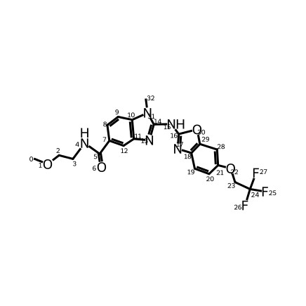 COCCNC(=O)c1ccc2c(c1)nc(Nc1nc3ccc(OCC(F)(F)F)cc3o1)n2C